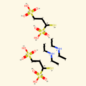 CCNCC.CCNCC.O=S(=O)(O)CCC(S)S(=O)(=O)O.O=S(=O)(O)CCC(S)S(=O)(=O)O